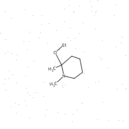 CCOC1(C)CCCCN1C